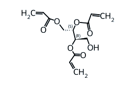 C=CC(=O)OC[C@H](OC(=O)C=C)[C@@H](CO)OC(=O)C=C